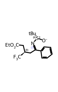 CCOC(=O)C[C@@H](C/C(=N/[S@@+]([O-])C(C)(C)C)c1ccccc1)C(F)(F)F